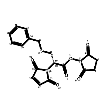 O=C(ON1C(=O)CCC1=O)[C@@H](CSCc1ccccc1)N1C(=O)C=CC1=O